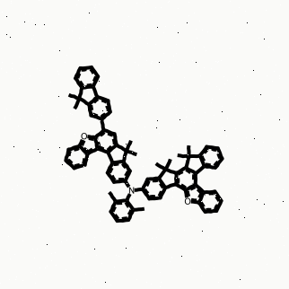 Cc1cccc(C)c1N(c1ccc2c(c1)C(C)(C)c1cc(-c3ccc4c(c3)C(C)(C)c3ccccc3-4)c3oc4ccccc4c3c1-2)c1ccc2c(c1)C(C)(C)c1c3c(c4c(oc5ccccc54)c1-2)-c1ccccc1C3(C)C